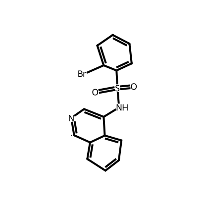 O=S(=O)(Nc1cn[c]c2ccccc12)c1ccccc1Br